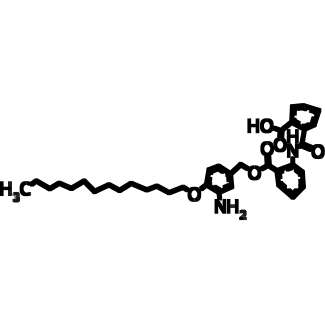 CCCCCCCCCCCCCCOc1ccc(COC(=O)c2ccccc2NC(=O)c2ccccc2C(=O)O)cc1N